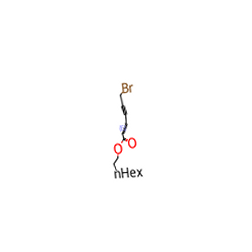 CCCCCCCCOC(=O)/C=C/C#CCBr